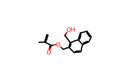 C=C(C)C(=O)OCc1ccc2ccccc2c1CO